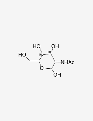 CC(=O)NC1C(O)OC(CO)[C@H](O)[C@@H]1O